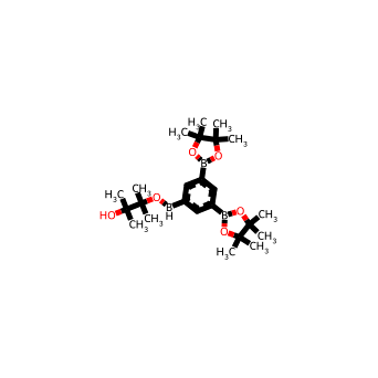 CC(C)(O)C(C)(C)OBc1cc(B2OC(C)(C)C(C)(C)O2)cc(B2OC(C)(C)C(C)(C)O2)c1